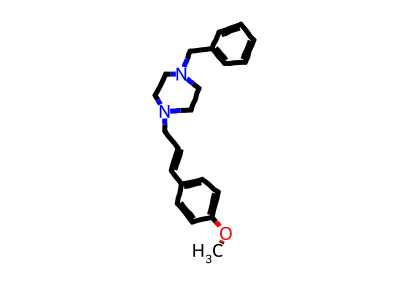 COc1ccc(C=CCN2CCN(Cc3ccccc3)CC2)cc1